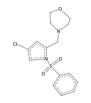 O=S(=O)(c1ccccc1)n1cc(Cl)cc1CN1CCOCC1